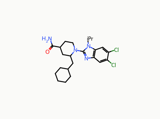 CC(C)n1c(N2CCC(C(N)=O)CC2CC2CCCCC2)nc2cc(Cl)c(Cl)cc21